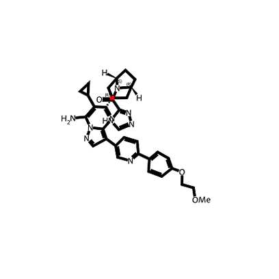 COCCOc1ccc(-c2ccc(-c3cnn4c(N)c(C5CC5)c([C@H]5C[C@H]6CC[C@@H](C5)N6C(=O)c5nnc[nH]5)nc34)cn2)cc1